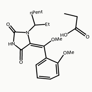 CCC(=O)O.CCCCCC(CC)N1C(=O)NC(=O)C1=C(OC)c1ccccc1OC